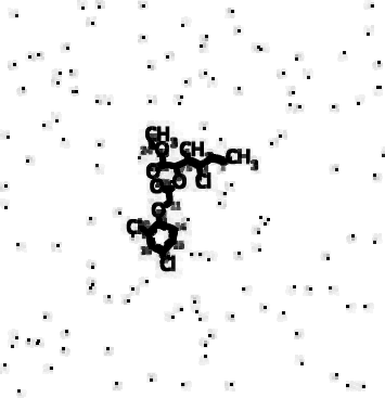 CC=CC(Cl)=C(C)C(OC(=O)COc1ccc(Cl)cc1Cl)C(=O)OCC